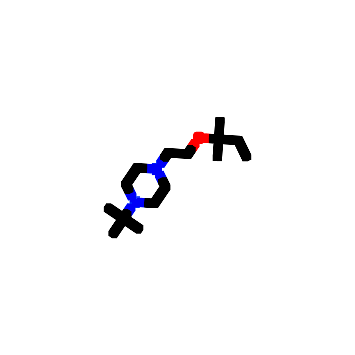 CCC(C)(C)OCCN1CCN(C(C)(C)C)CC1